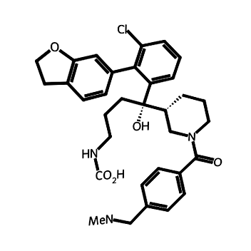 CNCc1ccc(C(=O)N2CCC[C@@H]([C@@](O)(CCCNC(=O)O)c3cccc(Cl)c3-c3ccc4c(c3)OCC4)C2)cc1